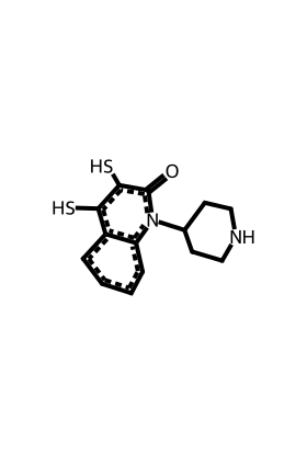 O=c1c(S)c(S)c2ccccc2n1C1CCNCC1